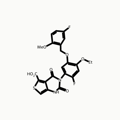 CCOc1cc(F)c(-n2c(=O)[nH]c3csc(C(=O)O)c3c2=O)cc1OCc1cc(F)ccc1OC